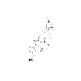 CC1=NN(C2=CC=CC(OC(F)(F)F)C2)C(C2CC2)C1C(=O)N1CCC(N2C[C@@H](O)C[C@H]2C)CC1